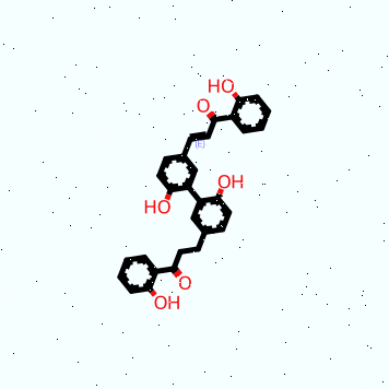 O=C(/C=C/c1ccc(O)c(-c2cc(CCC(=O)c3ccccc3O)ccc2O)c1)c1ccccc1O